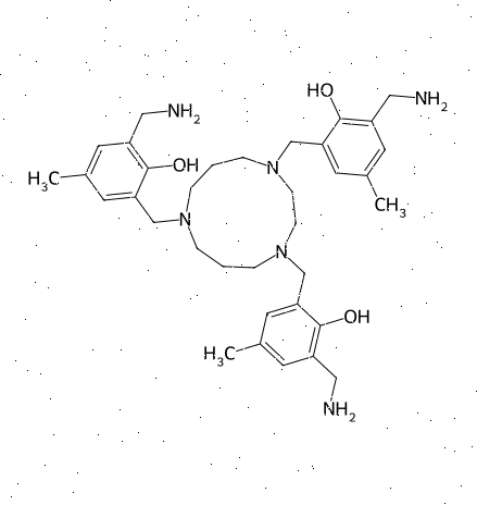 Cc1cc(CN)c(O)c(CN2CCCN(Cc3cc(C)cc(CN)c3O)CCN(Cc3cc(C)cc(CN)c3O)CCC2)c1